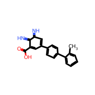 Cc1ccccc1-c1ccc(C2=CC(=N)C(=N)C(C(=O)O)=C2)cc1